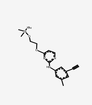 C#Cc1cc(C)cc(Nc2nccc(OCCO[Si](C)(C)C(C)(C)C)n2)c1